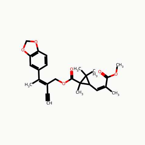 C#CC(COC(=O)C1(C)C(C=C(C)C(=O)OC)C1(C)C)=C(C)c1ccc2c(c1)OCO2